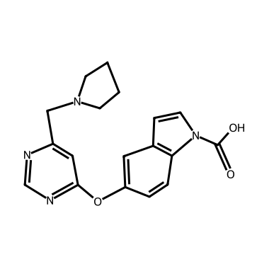 O=C(O)n1ccc2cc(Oc3cc(CN4CCCC4)ncn3)ccc21